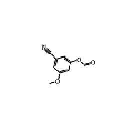 COc1cc(C#N)cc(OC=O)c1